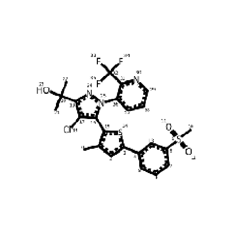 Cc1cc(-c2cccc(S(C)(=O)=O)c2)sc1-c1c(Cl)c(C(C)(C)O)nn1-c1cccnc1C(F)(F)F